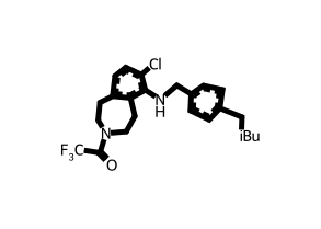 CCC(C)Cc1ccc(CNc2c(Cl)ccc3c2CCN(C(=O)C(F)(F)F)CC3)cc1